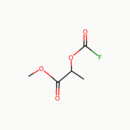 COC(=O)C(C)OC(=O)F